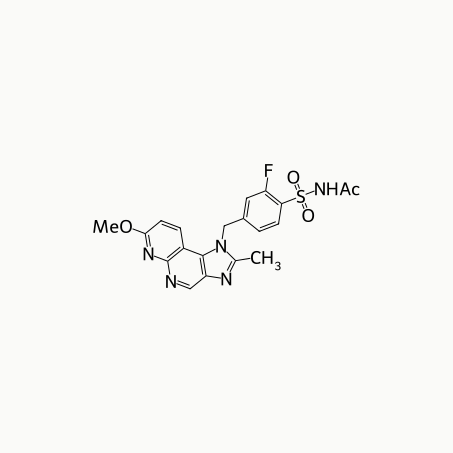 COc1ccc2c(ncc3nc(C)n(Cc4ccc(S(=O)(=O)NC(C)=O)c(F)c4)c32)n1